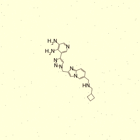 Nc1cncc(-c2cn(Cc3cn4cc(CNCC5CCC5)ccc4n3)nn2)c1N